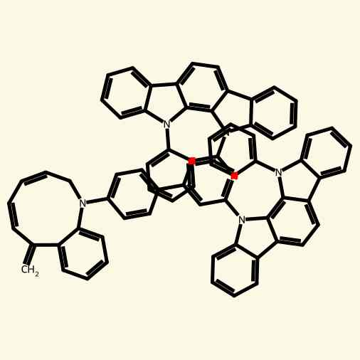 C=C1/C=C\C=C/CN(c2ccc(-c3cc(-n4c5ccccc5c5ccc6c7ccccc7n(-c7ccccc7)c6c54)nc(-n4c5ccccc5c5ccc6c7ccccc7n(-c7ccccc7)c6c54)c3)cc2)c2ccccc21